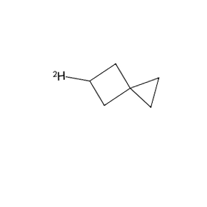 [2H]C1CC2(CC2)C1